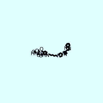 O=C1CCC(N2C(=O)c3ccc(NCCCCCCN4CCC(n5cc(-c6cnc7ccccc7n6)cn5)CC4)cc3C2=O)C(=O)N1